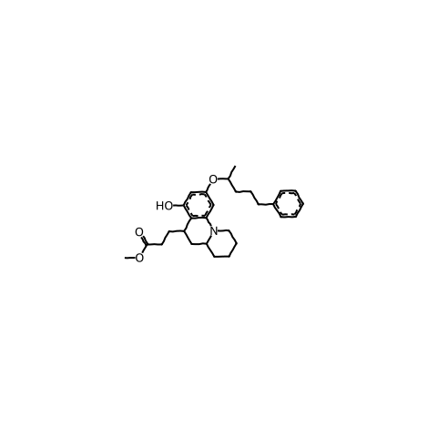 COC(=O)CCC1CC2CCCCN2c2cc(OC(C)CCCc3ccccc3)cc(O)c21